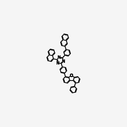 c1ccc(-c2cccc3oc4c(-c5ccc(-c6nc(-c7cccc(-c8ccc9ccccc9c8)c7)nc(-c7cccc8ccccc78)n6)cc5)cccc4c23)cc1